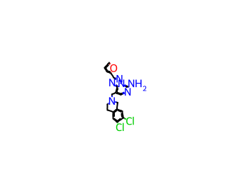 Nc1ncc(CN2CCc3cc(Cl)c(Cl)cc3C2)c2nc(-c3ccco3)nn12